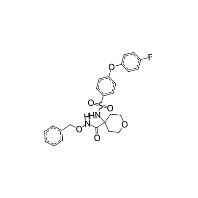 O=C(NOCc1ccccc1)C1(NS(=O)(=O)c2ccc(Oc3ccc(F)cc3)cc2)CCOCC1